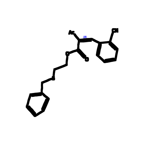 CC(=O)/C(=C/c1ccccc1C#N)C(=O)OCCSCc1ccccc1